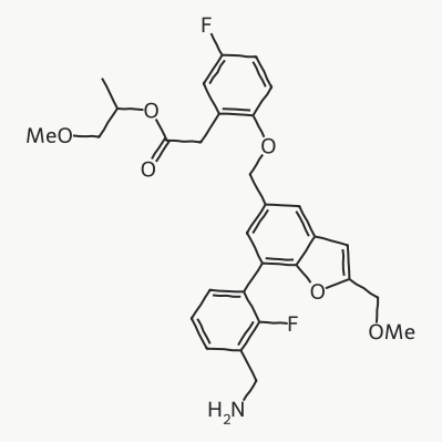 COCc1cc2cc(COc3ccc(F)cc3CC(=O)OC(C)COC)cc(-c3cccc(CN)c3F)c2o1